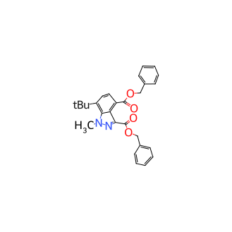 Cn1nc(C(=O)OCc2ccccc2)c2c(C(=O)OCc3ccccc3)ccc(C(C)(C)C)c21